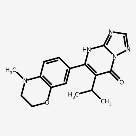 CC(C)c1c(-c2ccc3c(c2)OCCN3C)[nH]c2ncnn2c1=O